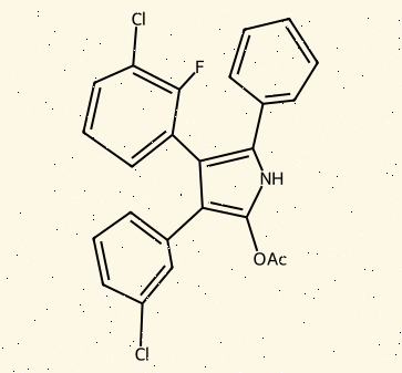 CC(=O)Oc1[nH]c(-c2ccccc2)c(-c2cccc(Cl)c2F)c1-c1cccc(Cl)c1